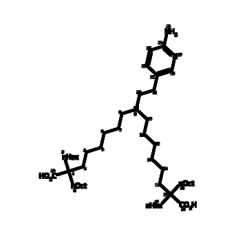 CCCCCCCCC(CCCCCC)(CCCCCCN(CCCCCCC(CCCCCC)(CCCCCCCC)C(=O)O)CCc1ccc(N)nc1)C(=O)O